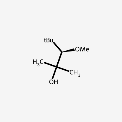 CO[C@H](C(C)(C)C)C(C)(C)O